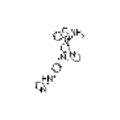 C[N+](C(N)=O)(c1ccccc1)N1CCC(N(Cc2ccc(CNCc3ccccn3)cc2)Cc2ccccn2)CC1